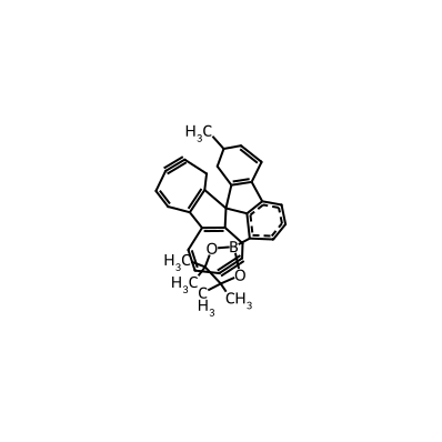 CC1C=CC2=C(C1)C1(C3=C(C=CC#CC3)C3=C1CC#CC=C3)c1c(B3OC(C)(C)C(C)(C)O3)cccc12